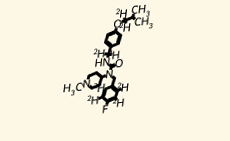 [2H]c1c([2H])c(CN(C(=O)NC([2H])([2H])c2ccc(OC([2H])([2H])C(C)C)cc2)C2CCN(C)CC2)c([2H])c([2H])c1F